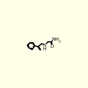 C=C(CNCC(N)=O)c1ccccc1